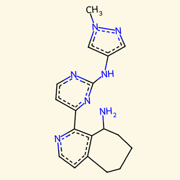 Cn1cc(Nc2nccc(-c3nccc4c3C(N)CCCC4)n2)cn1